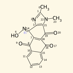 Cc1nc2/c(=N/O)c3c(=O)c4ccccc4c(=O)c=3c(=O)c2n1C